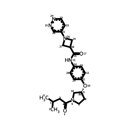 CC(C)CC(=O)N1CC[C@@H](Oc2ccc(NC(=O)C3CN(c4ccnnc4)C3)cc2)C1